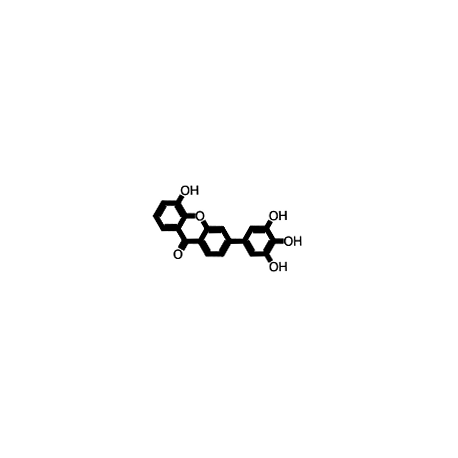 O=c1c2ccc(-c3cc(O)c(O)c(O)c3)cc2oc2c(O)cccc12